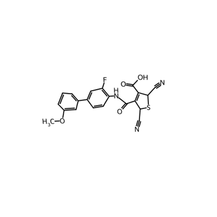 COc1cccc(-c2ccc(NC(=O)C3=C(C(=O)O)C(C#N)SC3C#N)c(F)c2)c1